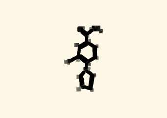 NC(=O)c1ccc(-n2ccnc2)c(F)c1